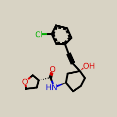 O=C(N[C@@H]1CCC[C@](O)(C#Cc2cccc(Cl)c2)C1)[C@@H]1CCOC1